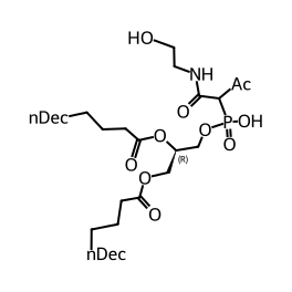 CCCCCCCCCCCCCC(=O)OC[C@H](COP(=O)(O)C(C(C)=O)C(=O)NCCO)OC(=O)CCCCCCCCCCCCC